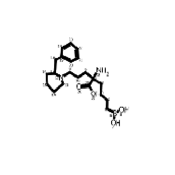 NC(CCCCB(O)O)(CCCN1CCCCC1Cc1ccccc1)C(=O)O